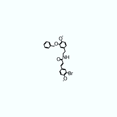 COc1ccc(/C=C/C(=O)NCCc2ccc(OC)c(OCc3ccccc3)c2)cc1Br